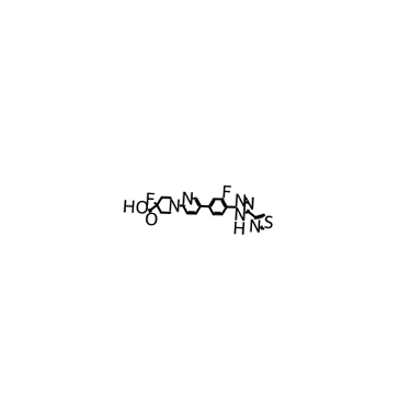 O=C(O)C1(F)CCN(c2ccc(-c3ccc(-c4nnc(-c5cscn5)[nH]4)c(F)c3)cn2)CC1